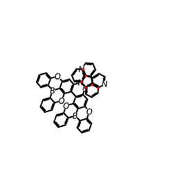 c1ccc2c(c1)Oc1cc(-n3c4ccccc4c4ccncc43)c(-c3c(-n4c5ccccc5c5cccnc54)cc4c5c3Oc3ccccc3B5c3ccccc3O4)c3c1B2c1ccccc1O3